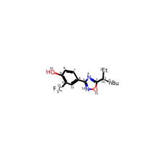 CCCC[C@H](CC)c1nc(-c2ccc(O)c(C(F)(F)F)c2)no1